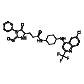 O=S=C1NC(CCC(=O)NC2CCC(Nc3cc(C(F)(F)F)nc4ccc(Cl)cc34)CC2)C(=O)N1c1ccccc1